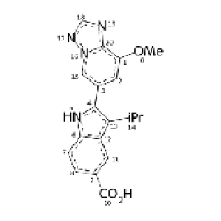 COc1cc(-c2[nH]c3ccc(C(=O)O)cc3c2C(C)C)cn2ncnc12